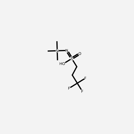 C[Si](C)(C)N=S(=O)(O)CCC(F)(F)F